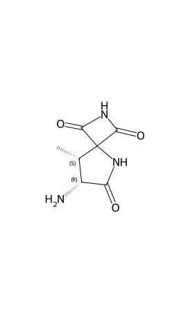 C[C@H]1[C@@H](N)C(=O)NC12C(=O)NC2=O